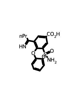 CCCC(=N)c1cc(C(=O)O)cc(S(N)(=O)=O)c1Oc1ccccc1